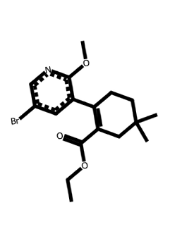 CCOC(=O)C1=C(c2cc(Br)cnc2OC)CCC(C)(C)C1